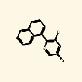 Brc1cnc(-c2cccc3ccccc23)c(Br)c1